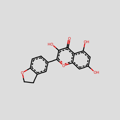 O=c1c(O)c(-c2ccc3c(c2)CCO3)oc2cc(O)cc(O)c12